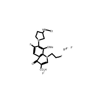 CCNC1CCN(c2c(F)cc3c(=O)c(C(=O)O)cn(CCF)c3c2OC)C1.[B+3].[F-].[F-].[F-]